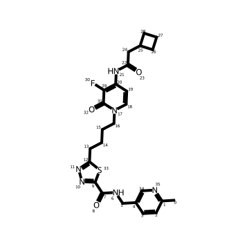 Cc1ccc(CNC(=O)c2nnc(CCCCn3ccc(NC(=O)CC4CCC4)c(F)c3=O)s2)cn1